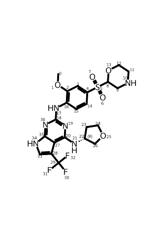 COc1cc(S(=O)(=O)C2CNCCO2)ccc1Nc1nc(N[C@@H]2CCOC2)c2c(C(F)(F)F)c[nH]c2n1